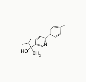 BC(O)(c1ccc(-c2ccc(C)cc2)nc1)C(C)C